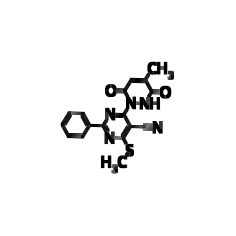 CSc1nc(-c2ccccc2)nc(-n2[nH]c(=O)c(C)cc2=O)c1C#N